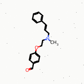 CN(CC=Cc1ccccc1)CCOc1ccc(C=O)cc1